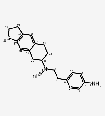 CCCN(CCc1ccc(N)cc1)C1CCc2cc3c(cc2C1)SCC3